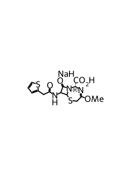 COC1=N[C@@H](C(=O)O)N2C(=O)C(NC(=O)Cc3cccs3)C2SC1.[NaH]